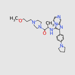 COCCCN1CCN(C(=O)C(C)Nc2c(-c3ccc(N4CCCC4)cc3)nc3cnccn23)CC1